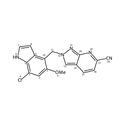 COc1cc(Cl)c2[nH]ccc2c1Cn1cc2ccc(C#N)nc2n1